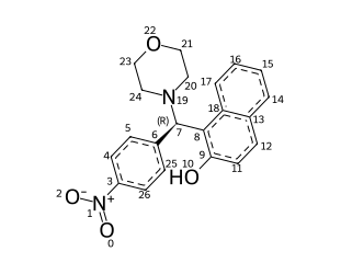 O=[N+]([O-])c1ccc([C@H](c2c(O)ccc3ccccc23)N2CCOCC2)cc1